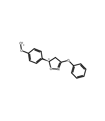 FC(F)(F)Oc1ccc([C@H]2CC(Oc3ccccc3)=NO2)cc1